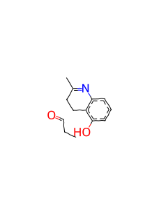 CC1=Nc2cccc(O)c2CC1.CCC=O